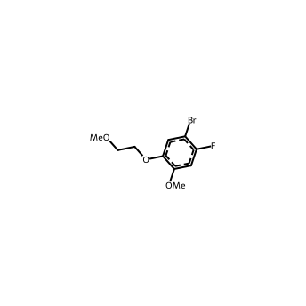 COCCOc1cc(Br)c(F)cc1OC